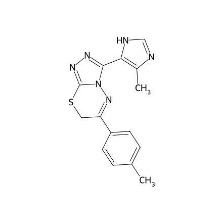 Cc1ccc(C2=Nn3c(nnc3-c3[nH]cnc3C)SC2)cc1